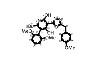 CCCCc1nc(O)c(-c2nnc(Cc3ccc(OC)cc3)o2)c(O)c1-c1c(OC)cccc1OC